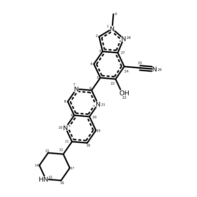 Cn1cc2cc(-c3ncc4nc(C5CCNCC5)ccc4n3)c(O)c(C#N)c2n1